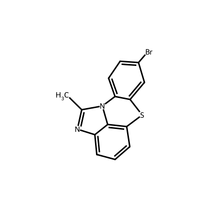 Cc1nc2cccc3c2n1-c1ccc(Br)cc1S3